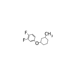 CC1CCCC(Oc2ccc(F)c(F)c2)C1